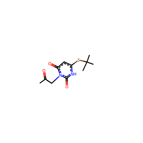 CC(=O)Cn1c(=O)cc(SC(C)(C)C)[nH]c1=O